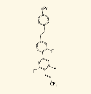 CCCc1ccc(CCc2ccc(-c3cc(F)c(/C=C/C(F)(F)F)c(F)c3)c(F)c2)cc1